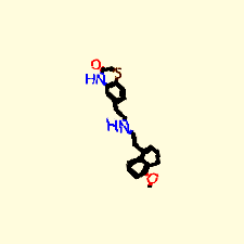 COc1cccc2c1CCCC2CCNCCc1ccc2c(c1)NC(=O)CS2